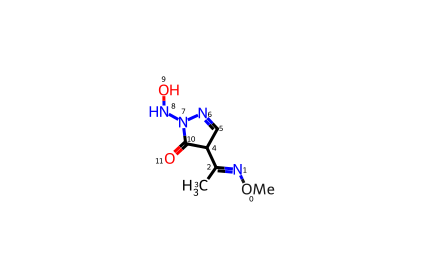 CON=C(C)C1C=NN(NO)C1=O